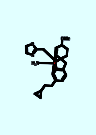 COC1CCC2(CC1)Cc1ccc(CCC3CC3)cc1C21N=C(N)N(Cc2ncco2)C1=O